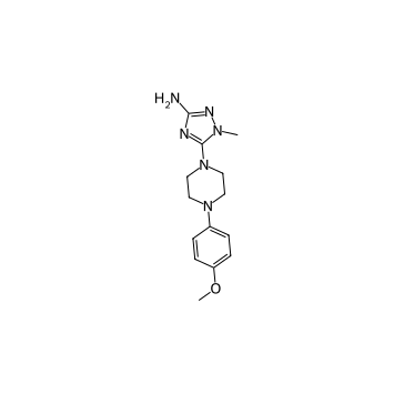 COc1ccc(N2CCN(c3nc(N)nn3C)CC2)cc1